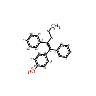 CCC/C(=C(\c1ccccc1)c1ccc(O)cc1)c1ccccc1